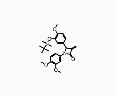 C=C1C(=O)N(c2ccc(OC)c(OC)c2)C1c1ccc(OC)c(O[Si](C)(C)C(C)(C)C)c1